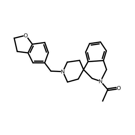 CC(=O)N1Cc2ccccc2C2(CCN(Cc3ccc4c(c3)CCO4)CC2)C1